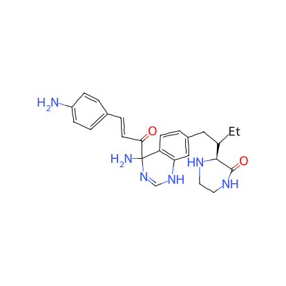 CCC(Cc1ccc2c(c1)NC=NC2(N)C(=O)C=Cc1ccc(N)cc1)[C@@H]1NCCNC1=O